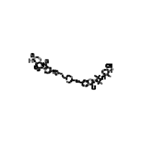 Cc1c(O[C@H]2C(C)(C)[C@H](N3Cc4cc(C#CC5CCC(CCC6CN(c7ccc8c(c7)C(=O)N(C7CCC(=O)NC7=O)C8=O)C6)CC5)ccc4C3=O)C2(C)C)ccc(C#N)c1F